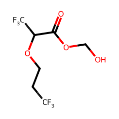 O=C(OCO)C(OCCC(F)(F)F)C(F)(F)F